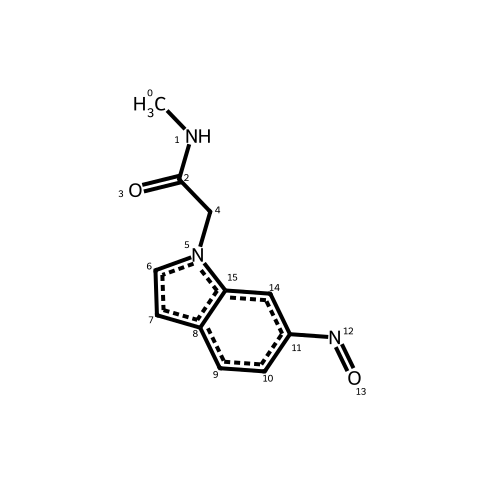 CNC(=O)Cn1ccc2ccc(N=O)cc21